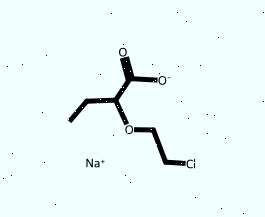 CCC(OCCCl)C(=O)[O-].[Na+]